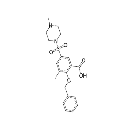 Cc1cc(S(=O)(=O)N2CCN(C)CC2)cc(C(=O)O)c1OCc1ccccc1